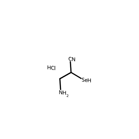 Cl.N#CC([SeH])CN